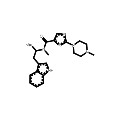 CCCCC(Cc1c[nH]c2ccccc12)N(C)C(=O)c1cnc(N2CCN(C)CC2)s1